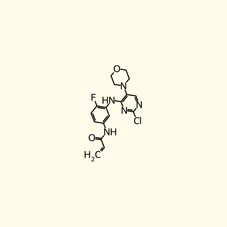 C=CC(=O)Nc1ccc(F)c(Nc2nc(Cl)ncc2N2CCOCC2)c1